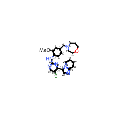 COc1cc(CN2CCCOCC2)ccc1Nc1ncc(Cl)c(-c2cnc3ccccn23)n1